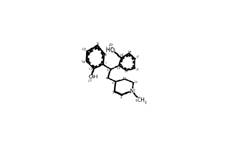 CN1CCC(CC(c2ccccc2O)c2ccccc2O)CC1